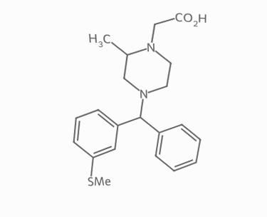 CSc1cccc(C(c2ccccc2)N2CCN(CC(=O)O)C(C)C2)c1